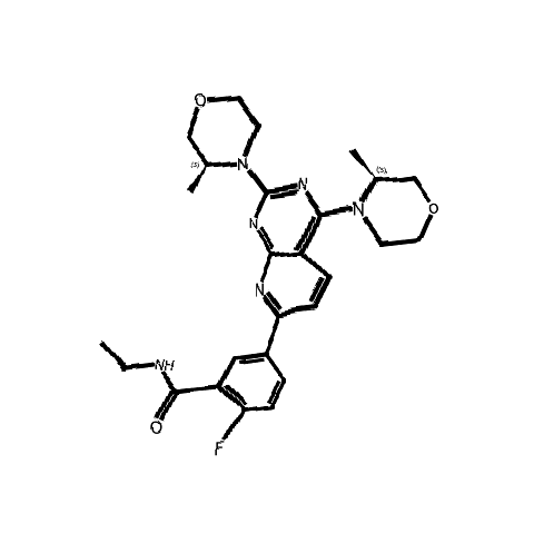 CCNC(=O)c1cc(-c2ccc3c(N4CCOC[C@@H]4C)nc(N4CCOC[C@@H]4C)nc3n2)ccc1F